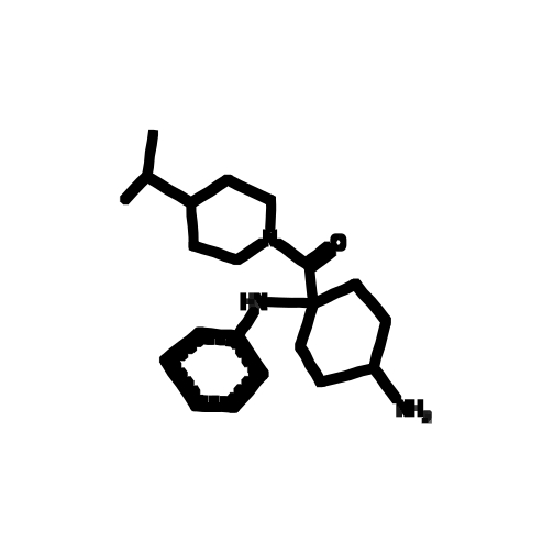 CC(C)C1CCN(C(=O)C2(Nc3ccccc3)CCC(N)CC2)CC1